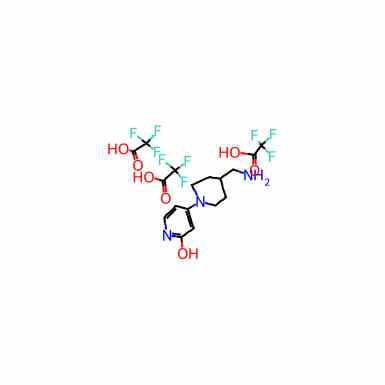 NCC1CCN(c2ccnc(O)c2)CC1.O=C(O)C(F)(F)F.O=C(O)C(F)(F)F.O=C(O)C(F)(F)F